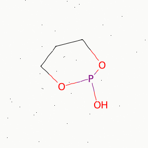 OP1OCCCO1